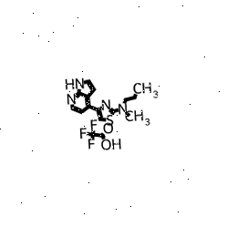 CCCN(C)c1nc(-c2ccnc3[nH]ccc23)cs1.O=C(O)C(F)(F)F